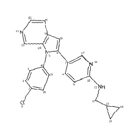 Clc1ccc(-n2c(-c3ccc(NCC4CC4)nc3)cc3ccncc32)cc1